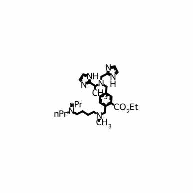 CCCN(CCC)CCCCN(C)Cc1ccc(CN(Cc2ncc[nH]2)C(C)c2ncc[nH]2)cc1C(=O)OCC